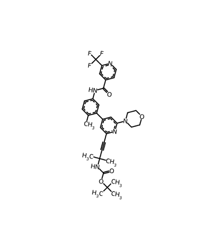 Cc1ccc(NC(=O)c2ccnc(C(F)(F)F)c2)cc1-c1cc(C#CC(C)(C)NC(=O)OC(C)(C)C)nc(N2CCOCC2)c1